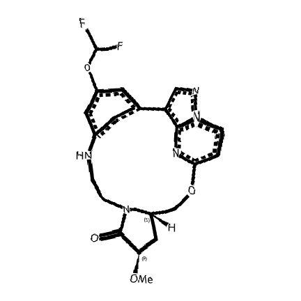 CO[C@@H]1C[C@H]2COc3ccn4ncc(c4n3)-c3cc(cc(OC(F)F)c3)NCCN2C1=O